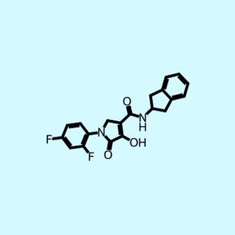 O=C(NC1Cc2ccccc2C1)C1=C(O)C(=O)N(c2ccc(F)cc2F)C1